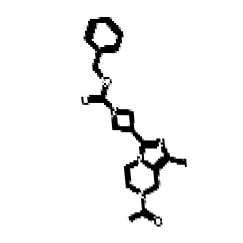 CC(=O)N1CCn2c(C3CN(C(=O)OCc4ccccc4)C3)nc(I)c2C1